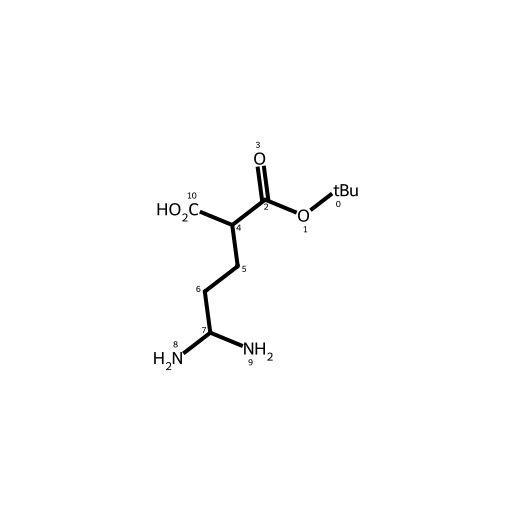 CC(C)(C)OC(=O)C(CCC(N)N)C(=O)O